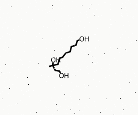 CC(O)(CCO)CCCCCCCCO